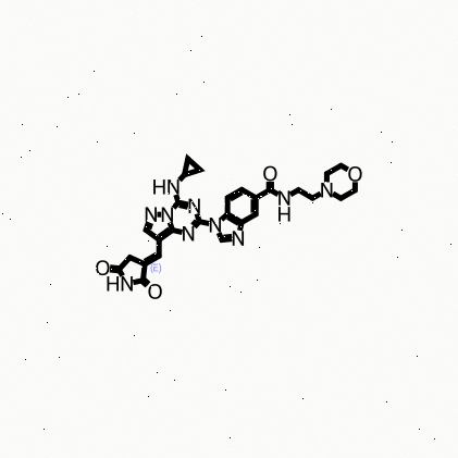 O=C1C/C(=C\c2cnn3c(NC4CC4)nc(-n4cnc5cc(C(=O)NCCN6CCOCC6)ccc54)nc23)C(=O)N1